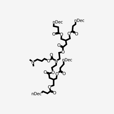 CCCCCCCCCCCCC(=O)OCC(COC(=O)CCCCCCCCCCCC)CC(=O)OCCN(CCOC(=O)CC(COC(=O)CCCCCCCCCCCC)COC(=O)CCCCCCCCCCCC)C(=O)OCCCN(C)C